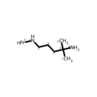 CCCNCCCC(C)(C)N